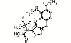 COc1ccc(CN2CCC(N(C(=O)O)C(C)(C)C)C2=O)cc1OC